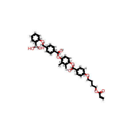 C=CC(=O)OCCCCOc1ccc(C(=O)Oc2ccc(OC(=O)c3ccc(COc4ccccc4B(O)O)cc3)c(C)c2C)cc1